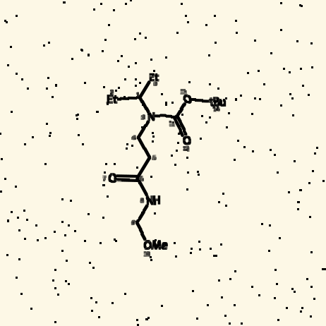 CCC(CC)N(CCC(=O)NCOC)C(=O)OC(C)(C)C